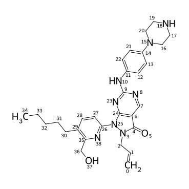 C=CCn1c(=O)c2cnc(Nc3ccc(N4CCNCC4)cc3)nc2n1-c1ccc(CCCCC)c(CO)n1